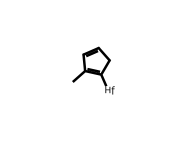 CC1=[C]([Hf])CC=C1